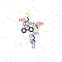 CSCCC(NC(=O)c1ccc(NC(=O)Cc2c[nH]cn2)cc1-c1ccccc1)C(=O)O.O=C(O)C(F)(F)F